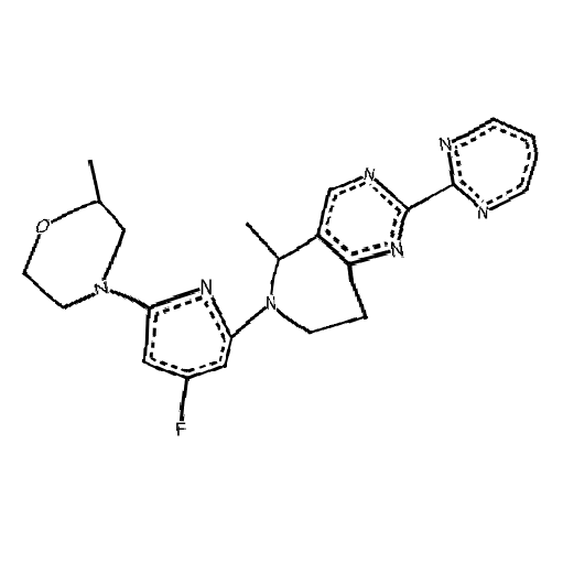 CC1CN(c2cc(F)cc(N3CCc4nc(-c5ncccn5)ncc4C3C)n2)CCO1